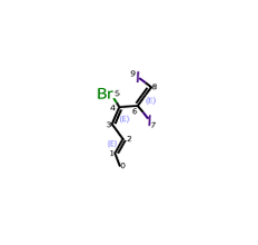 C/C=C/C=C(Br)\C(I)=C/I